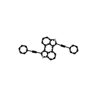 C(#Cc1sc2cccc3c4c(C#Cc5ccccc5)sc5cccc(c1c23)c54)c1ccccc1